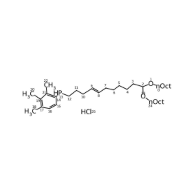 CCCCCCCCOC(CCCCCC=CCCCPc1ccc(C)c(C)c1C)OCCCCCCCC.Cl